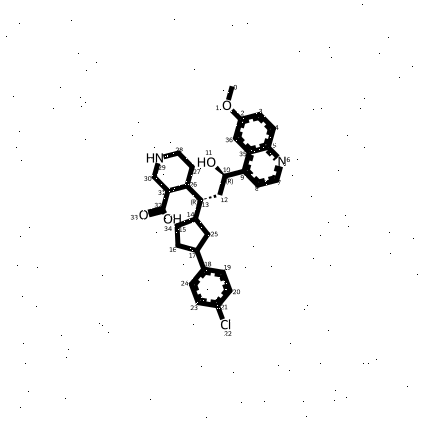 COc1ccc2nccc([C@H](O)C[C@H](C3CCC(c4ccc(Cl)cc4)C3)C3CCNCC3C(=O)O)c2c1